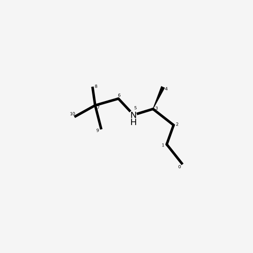 CCC[C@H](C)NCC(C)(C)C